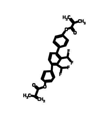 C=C(C)C(=O)Oc1ccc(-c2ccc(-c3ccc(OC(=O)C(=C)C)cc3)c(C(F)F)c2C(F)F)cc1